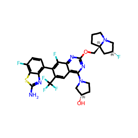 Nc1nc2c(-c3c(C(F)(F)F)cc4c(N5CC[C@H](O)C5)nc(OC[C@@]56CCCN5C[C@H](F)C6)nc4c3F)ccc(F)c2s1